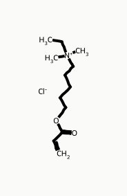 C=CC(=O)OCCCCC[N+](C)(C)CC.[Cl-]